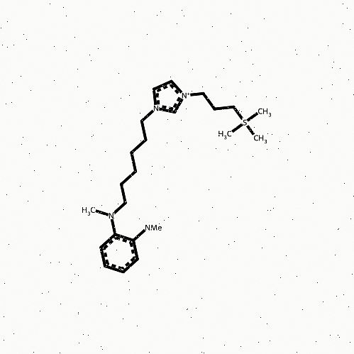 CNc1ccccc1N(C)CCCCCCn1cc[n+](CCCS(C)(C)C)c1